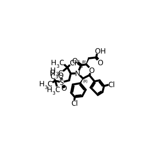 CC(C)(C)C(CS(=O)(=O)C(C)(C)C)N1C(=O)[C@@H](CC(=O)O)OC(c2cccc(Cl)c2)[C@H]1c1ccc(Cl)cc1